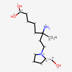 NC(CCCCB(O)O)(CCN1CCC[C@H]1CO)C(=O)O